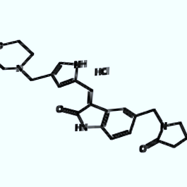 Cl.O=C1Nc2ccc(CN3CCCC3=O)cc2C1=Cc1cc(CN2CCOCC2)c[nH]1